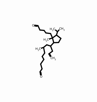 C=CCC(CC(C)CCCCCC=O)C1CCC(C(C)C)C1(C)CCCCC=O